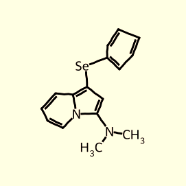 CN(C)c1cc([Se]c2ccccc2)c2ccccn12